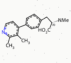 CN[C@@H](Cc1ccc(-c2ccnc(C)c2C)cc1)C(=O)O